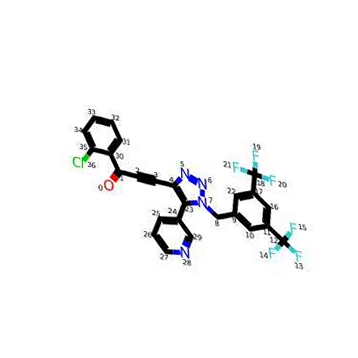 O=C(C#Cc1nnn(Cc2cc(C(F)(F)F)cc(C(F)(F)F)c2)c1-c1cccnc1)c1ccccc1Cl